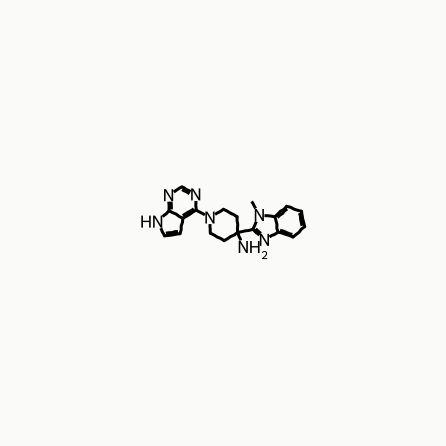 Cn1c(C2(N)CCN(c3ncnc4[nH]ccc34)CC2)nc2ccccc21